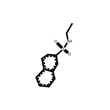 [CH2]CNS(=O)(=O)c1ccc2ccccc2c1